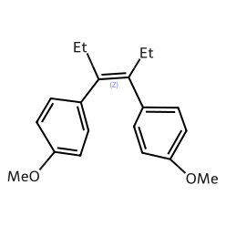 CC/C(=C(\CC)c1ccc(OC)cc1)c1ccc(OC)cc1